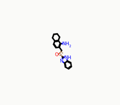 Nc1c(C[S+]([O-])c2nc3ccccc3[nH]2)ccc2c1CCCC2